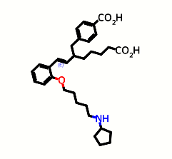 O=C(O)CCCCC(/C=C/c1ccccc1OCCCCCNC1CCCC1)Cc1ccc(C(=O)O)cc1